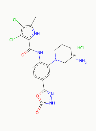 Cc1[nH]c(C(=O)Nc2ccc(-c3n[nH]c(=O)o3)cc2N2CCC[C@H](N)C2)c(Cl)c1Cl.Cl